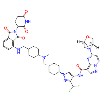 CN(C[C@H]1CC[C@H](n2cc(NC(=O)c3cnn4ccc(N5C[C@H]6C[C@@H]5CO6)nc34)c(C(F)F)n2)CC1)C1CCC(CNc2cccc3c2C(=O)N(C2CCC(=O)NC2=O)C3=O)CC1